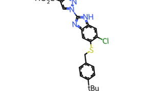 CC(C)(C)c1ccc(CSc2cc3nc(-n4cc(C(=O)O)cn4)[nH]c3cc2Cl)cc1